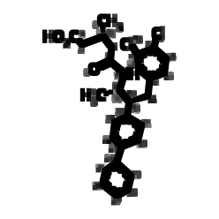 C[C@@H](CC(=O)O)CC(=O)N[C@@H](C)[C@@H](Cc1ccc(Cl)c(Cl)c1)c1ccc(-c2ccccc2)cc1